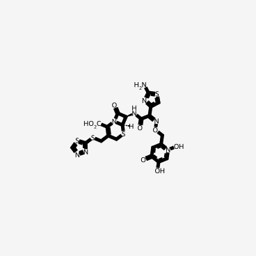 Nc1nc(/C(=N/OCc2cc(=O)c(O)cn2O)C(=O)N[C@@H]2C(=O)N3C(C(=O)O)=C(CSc4nncs4)CS[C@H]23)cs1